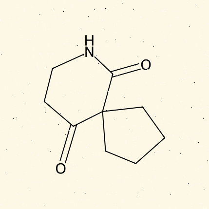 O=C1CCNC(=O)C12CCCC2